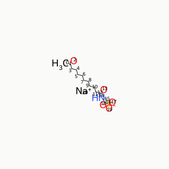 CC(=O)CCCCCCCCCC(=O)NCS(=O)(=O)[O-].[Na+]